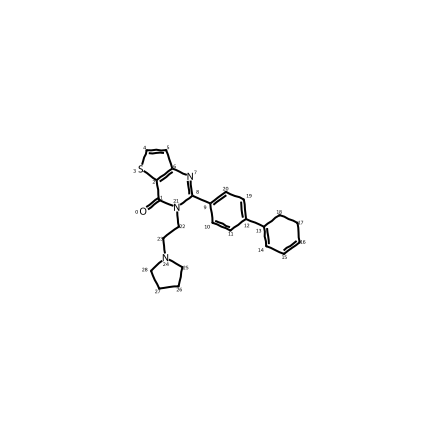 O=c1c2sccc2nc(-c2ccc(C3=CC=CCC3)cc2)n1CCN1CCCC1